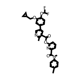 Cc1ccc(N(C)C(=O)c2cccc(OC(=O)c3cc(-c4ccc(OC(F)F)c(OCC5CC5)c4)cnc3C)n2)cc1